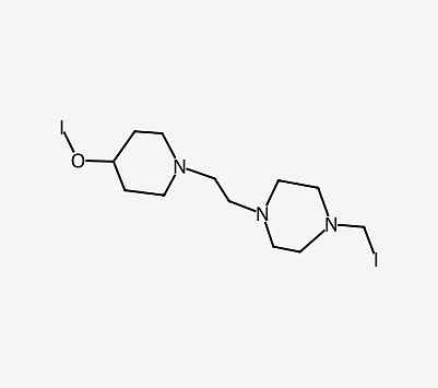 ICN1CCN(CCN2CCC(OI)CC2)CC1